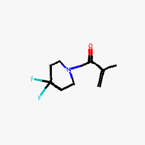 C=C(C)C(=O)N1CCC(F)(F)CC1